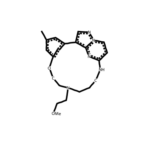 COCCN1CCCNc2ccn3ncc(c3n2)-c2cc(C)cc(c2)OCC1